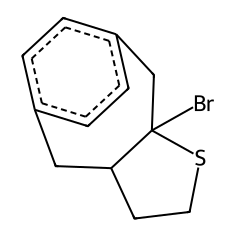 BrC12Cc3ccc(cc3)CC1CCS2